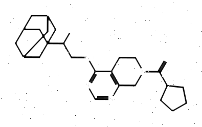 O=C(C1CCCC1)N1CCc2c(ncnc2NCC(O)C23CC4CC(CC(C4)C2)C3)C1